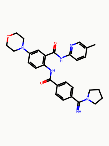 Cc1ccc(NC(=O)c2cc(N3CCOCC3)ccc2NC(=O)c2ccc(C(=N)N3CCCC3)cc2)nc1